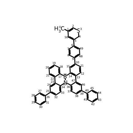 CC1=CSCC(c2ccc(-c3ccc4c(c3)B3c5ccccc5-c5cc(-c6ccccc6)ccc5N3c3ccc(-c5ccccc5)cc3-4)cc2)=C1